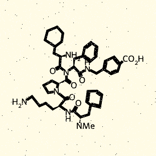 CN[C@@H](Cc1ccccc1)C(=O)N[C@@H](CCCCN)C(=O)N1CCC[C@H]1C(=O)N(C(=O)[C@H](N)CC1CCCCC1)[C@@H](Cc1ccccc1)C(=O)NCc1ccc(C(=O)O)cc1